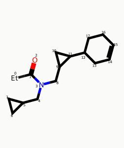 CCC(=O)N(CC1CC1)CC1CC1C1CC=CCC1